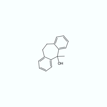 CC1(O)c2ccccc2CCc2ccccc21